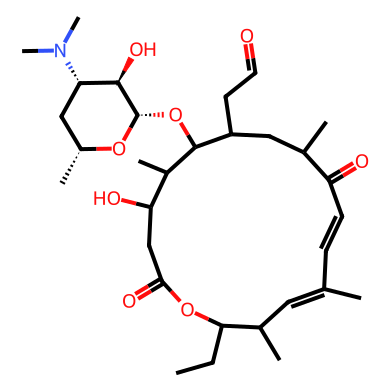 CCC1OC(=O)CC(O)C(C)C(O[C@@H]2O[C@H](C)C[C@H](N(C)C)[C@H]2O)C(CC=O)CC(C)C(=O)/C=C/C(C)=C/C1C